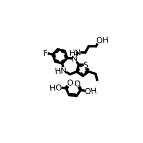 CCc1cc2c(s1)N(NCCCO)c1ccc(F)cc1NC2.O=C(O)/C=C\C(=O)O